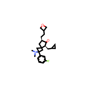 CN(C)C1(c2cccc(F)c2)CC2(C[C@@H](CCC3COC3)C(=O)[C@H]2CC2CC2)C1